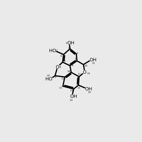 Oc1cc2c3c(c1O)OC(O)c1cc(O)c(O)c(c1-3)OC2O